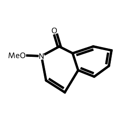 COn1ccc2ccccc2c1=O